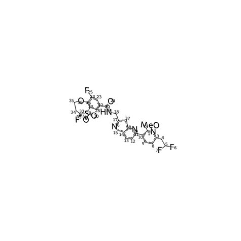 COc1nc(CC(F)F)ccc1-c1ccc2cnc(CNC(=O)c3cc(F)c4c(c3)S(=O)(=O)[C@@H](F)CCO4)cc2n1